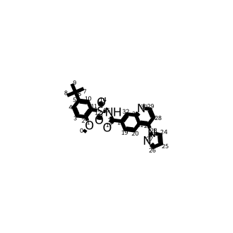 COc1ccc(C(C)(C)C)cc1S(=O)(=O)NC(=O)c1ccc2c(-n3cccn3)ccnc2c1